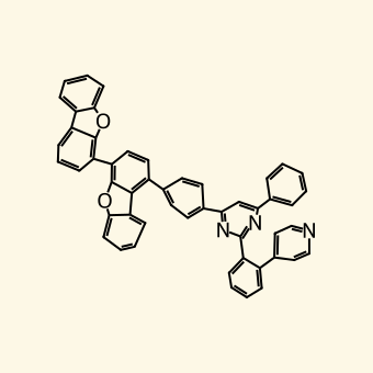 c1ccc(-c2cc(-c3ccc(-c4ccc(-c5cccc6c5oc5ccccc56)c5oc6ccccc6c45)cc3)nc(-c3ccccc3-c3ccncc3)n2)cc1